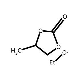 CC1COC(=O)O1.CC[O]